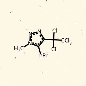 CCCc1c(C(Cl)(Cl)C(Cl)(Cl)Cl)nnn1C